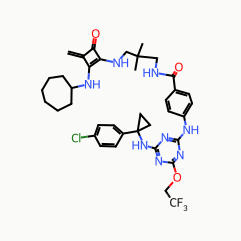 C=C1C(=O)C(NCC(C)(C)CNC(=O)c2ccc(Nc3nc(NC4(c5ccc(Cl)cc5)CC4)nc(OCC(F)(F)F)n3)cc2)=C1NC1CCCCCC1